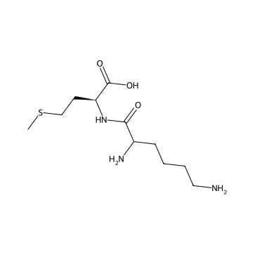 CSCC[C@H](NC(=O)C(N)CCCCN)C(=O)O